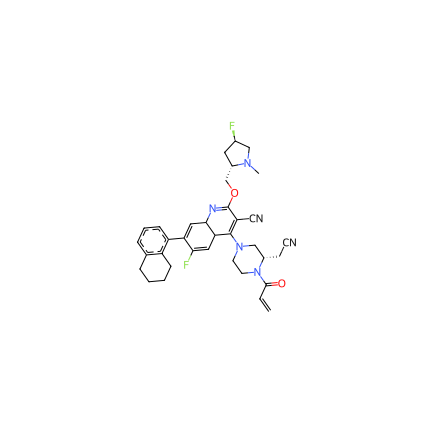 C=CC(=O)N1CCN(C2=C(C#N)C(OC[C@@H]3C[C@@H](F)CN3C)=NC3C=C(c4cccc5c4CCCC5)C(F)=CC23)C[C@@H]1CC#N